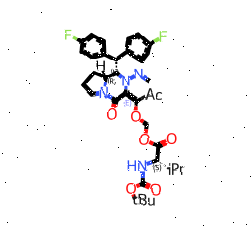 C=NN1/C(=C(/OCOC(=O)[C@@H](NC(=O)OC(C)(C)C)C(C)C)C(C)=O)C(=O)N2CCC[C@@H]2[C@@H]1C(c1ccc(F)cc1)c1ccc(F)cc1